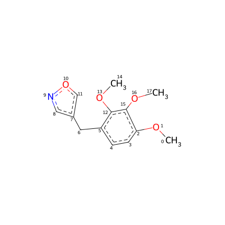 COc1ccc(Cc2cnoc2)c(OC)c1OC